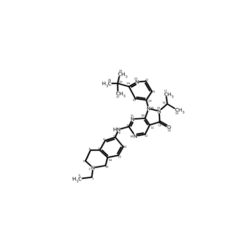 CCN1CCc2cc(Nc3ncc4c(=O)n(C(C)C)n(-c5ccnc(C(C)(C)C)c5)c4n3)ccc2C1